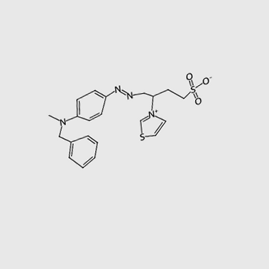 CN(Cc1ccccc1)c1ccc(N=NCC(CCS(=O)(=O)[O-])[n+]2ccsc2)cc1